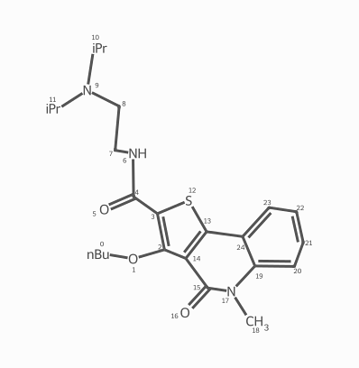 CCCCOc1c(C(=O)NCCN(C(C)C)C(C)C)sc2c1c(=O)n(C)c1ccccc21